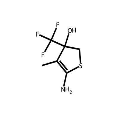 CC1=C(N)SCC1(O)C(F)(F)F